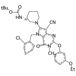 CCOc1cccc(Oc2nc3c(C#N)c(N4CCC[C@@H](NC(=O)OC(C)(C)C)C4)n(Cc4ccccc4Cl)c3c(=O)n2C)c1